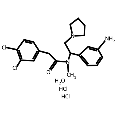 CN(C(=O)Cc1ccc(Cl)c(Cl)c1)C(CN1CCCC1)c1cccc(N)c1.Cl.Cl.O